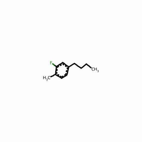 CCCCc1ccc(C)c(F)c1